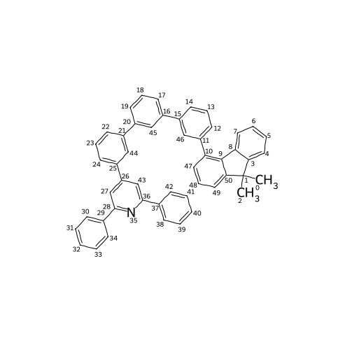 CC1(C)c2ccccc2-c2c(-c3cccc(-c4cccc(-c5cccc(-c6cc(-c7ccccc7)nc(-c7ccccc7)c6)c5)c4)c3)cccc21